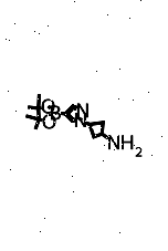 CC1(C)OB(c2cnn(C3CC(N)C3)c2)OC1(C)C